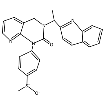 CC(c1ccc2ccccc2n1)N1Cc2cccnc2N(c2ccc([S+](C)[O-])cc2)C1=O